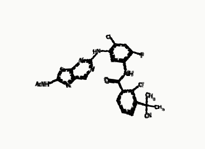 CC(=O)Nc1nc2cnc(Nc3cc(NC(=O)c4cccc(C(C)(C)C#N)c4Cl)c(F)cc3Cl)nc2s1